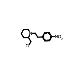 O=[N+]([O-])c1ccc(CCN2CCCCC2CCl)cc1